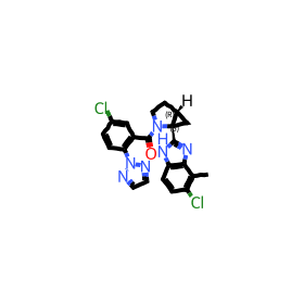 Cc1c(Cl)ccc2[nH]c([C@]34C[C@H]3CCN4C(=O)c3cc(Cl)ccc3-n3nccn3)nc12